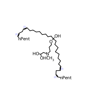 CCCCC/C=C\C/C=C\CCCCCCCCC(O)(CCCCCCCC/C=C\C/C=C\CCCCC)OCCCN(C)CC(O)O